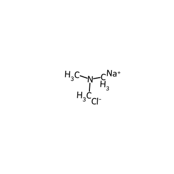 CN(C)C.[Cl-].[Na+]